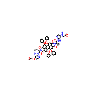 CC(C)C(C(=O)Nc1cc(NCC2CO2)ccn1)N1C(=O)c2cc(Oc3ccccc3)c3c4c(Oc5ccccc5)cc5c6c(cc(Oc7ccccc7)c(c7c(Oc8ccccc8)cc(c2c37)C1=O)c64)C(=O)N(C(C(=O)Nc1cc(OCC2CO2)ccn1)C(C)C)C5=O